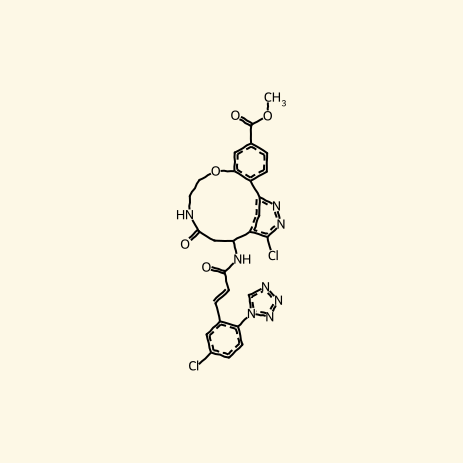 COC(=O)c1ccc2c(c1)OCCNC(=O)CC(NC(=O)C=Cc1cc(Cl)ccc1-n1cnnn1)c1cc-2nnc1Cl